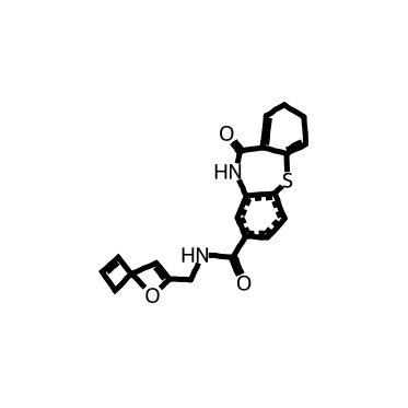 O=C1Nc2cc(C(=O)NCC3=CC4(C=CC4)O3)ccc2SC2=CCCC=C12